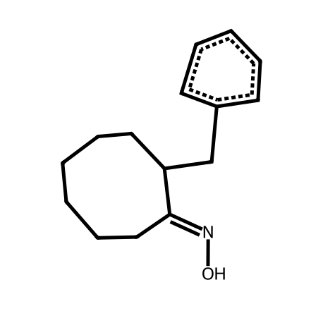 O/N=C1\CCCCCCC1Cc1ccccc1